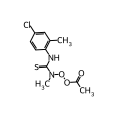 CC(=O)OON(C)C(=S)Nc1ccc(Cl)cc1C